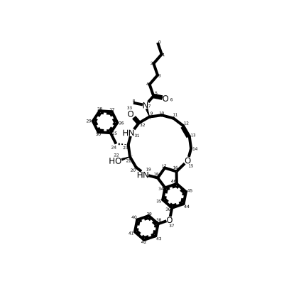 CCCCCC(=O)N(C)[C@H]1CCC=CCOC2CC(NC[C@@H](O)[C@H](Cc3ccccc3)NC1=O)c1cc(Oc3ccccc3)ccc12